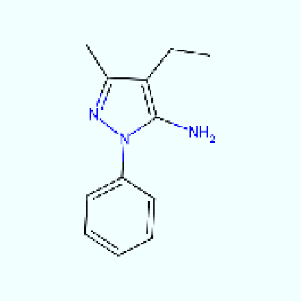 CCc1c(C)nn(-c2ccccc2)c1N